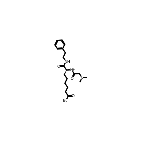 CCC(=O)CCCCC[C@H](NC(=O)CN(C)C)C(=O)NCCc1ccccc1